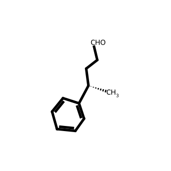 C[C@@H](CCC=O)c1ccccc1